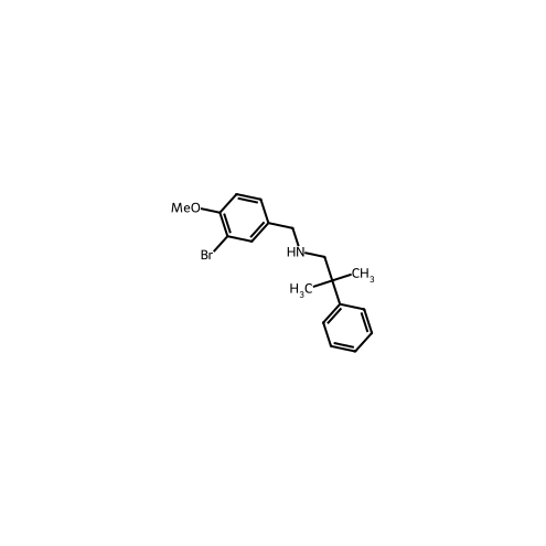 COc1ccc(CNCC(C)(C)c2ccccc2)cc1Br